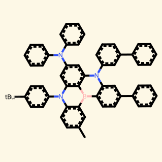 Cc1ccc2c(c1)B1c3ccc(-c4ccccc4)cc3N(c3cccc(-c4ccccc4)c3)c3cc(N(c4ccccc4)c4ccccc4)cc(c31)N2c1ccc(C(C)(C)C)cc1